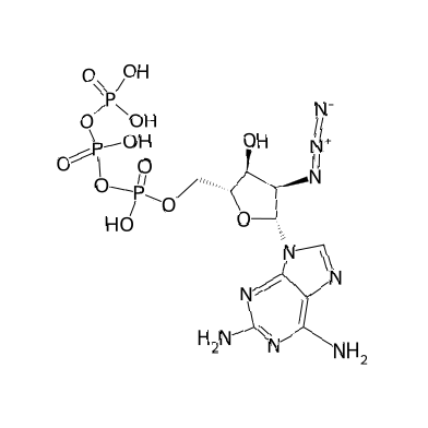 [N-]=[N+]=N[C@@H]1[C@H](O)[C@@H](COP(=O)(O)OP(=O)(O)OP(=O)(O)O)O[C@H]1n1cnc2c(N)nc(N)nc21